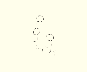 CN(C)C(=O)[C@H](Cc1ccccc1)NC(=O)C1OC1C(=O)Nc1ccc(Oc2ccccc2)cc1